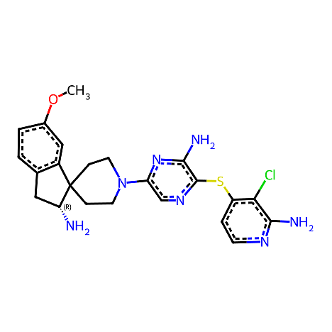 COc1ccc2c(c1)C1(CCN(c3cnc(Sc4ccnc(N)c4Cl)c(N)n3)CC1)[C@H](N)C2